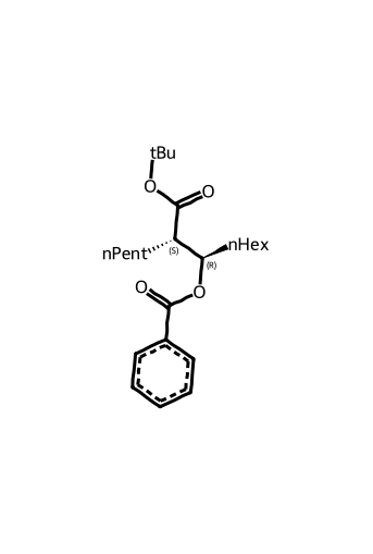 CCCCCC[C@@H](OC(=O)c1ccccc1)[C@H](CCCCC)C(=O)OC(C)(C)C